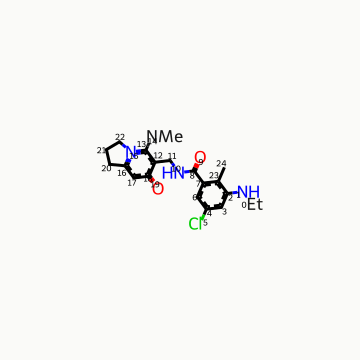 CCNc1cc(Cl)cc(C(=O)NCc2c(NC)n3c(cc2=O)CCC3)c1C